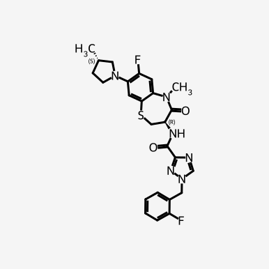 C[C@H]1CCN(c2cc3c(cc2F)N(C)C(=O)[C@@H](NC(=O)c2ncn(Cc4ccccc4F)n2)CS3)C1